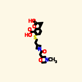 CN1CCOC(CC(=O)N2CC(CCSc3ccc4c(c3C(=O)O)OB(O)C3CC43)C2)C1